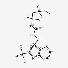 CCC(C)(C)CC(C)(C)NC(=O)NNc1nc(C(F)(F)F)nc2ccccc12